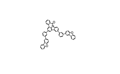 O=c1c2ccccc2c2cc(-c3cccc(-c4ccc5oc6ccccc6c5c4)c3)cc3c4cc(-c5cccc(-c6ccc7oc8ccccc8c7c6)c5)ccc4n1c23